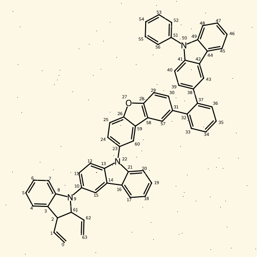 C=CC1c2ccccc2N(c2ccc3c(c2)c2ccccc2n3-c2ccc3oc4ccc(-c5ccccc5-c5ccc6c(c5)c5ccccc5n6-c5ccccc5)cc4c3c2)C1C=C